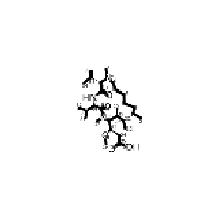 CCCCCCCN(C)[C@H](C(=O)N[C@H](C(=O)N(C)[C@@H]([C@@H](C)CC)[C@@H](CC(=O)O)OC)C(C)C)C(C)C